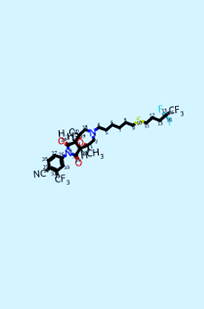 C[C@]12CN(CCCCCCSCCCC(F)(F)C(F)(F)F)C[C@](C)(O1)[C@H]1C(=O)N(c3ccc(C#N)c(C(F)(F)F)c3)C(=O)[C@H]12